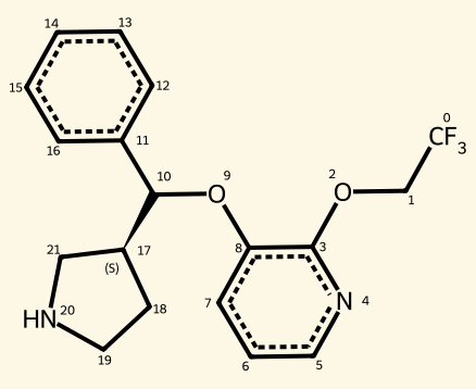 FC(F)(F)COc1ncccc1OC(c1ccccc1)[C@H]1CCNC1